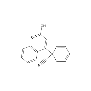 N#CC1(/C(=C/C(=O)O)c2ccccc2)C=CC=CC1